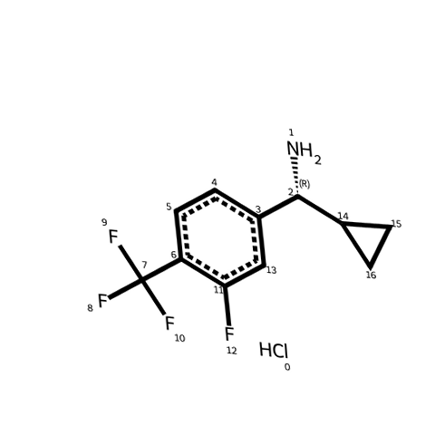 Cl.N[C@@H](c1ccc(C(F)(F)F)c(F)c1)C1CC1